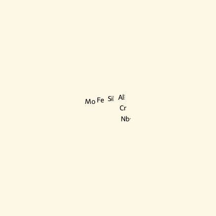 [Al].[Cr].[Fe].[Mo].[Nb].[Si]